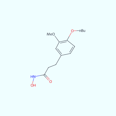 CCCCOc1ccc(CCC(=O)NO)cc1OC